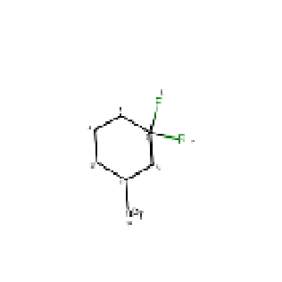 [CH2]CCC1CCCC(F)(F)C1